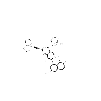 Oc1cc(-c2ncc3c(N4C[C@@H]5C[C@H]4CN5)nc(C#CC45CCCN4CCC5)nc3c2F)c2c(F)c(F)ccc2c1